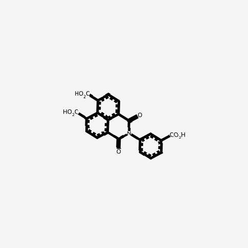 O=C(O)c1cccc(N2C(=O)c3ccc(C(=O)O)c4c(C(=O)O)ccc(c34)C2=O)c1